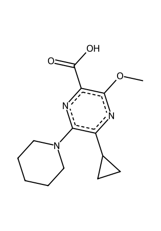 COc1nc(C2CC2)c(N2CCCCC2)nc1C(=O)O